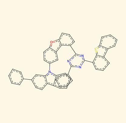 c1ccc(-c2ccc3c4ccccc4n(-c4ccc5oc6cccc(-c7nc(-c8ccccc8)nc(-c8cccc9c8sc8ccccc89)n7)c6c5c4)c3c2)cc1